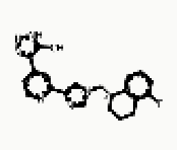 Cc1[nH]nnc1-c1ccnc(-c2cn(C[C@@H]3CCCc4c(F)cccc43)cn2)c1